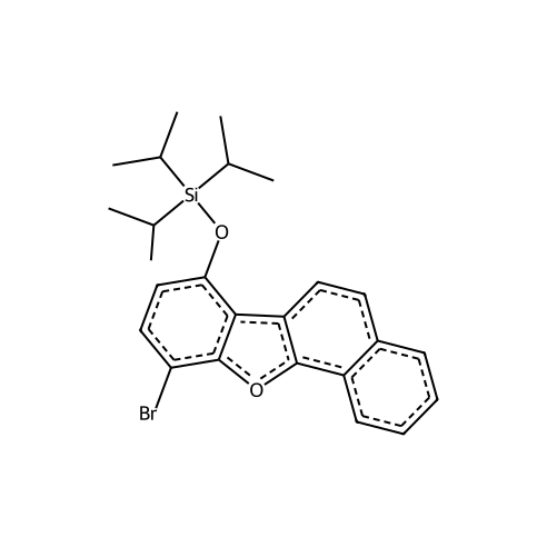 CC(C)[Si](Oc1ccc(Br)c2oc3c4ccccc4ccc3c12)(C(C)C)C(C)C